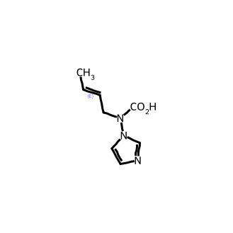 C/C=C/CN(C(=O)O)n1ccnc1